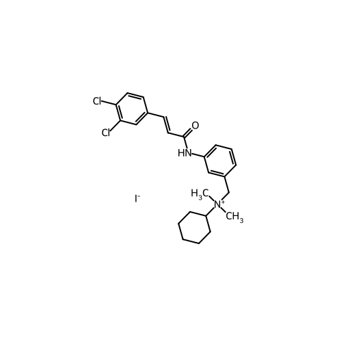 C[N+](C)(Cc1cccc(NC(=O)C=Cc2ccc(Cl)c(Cl)c2)c1)C1CCCCC1.[I-]